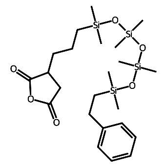 C[Si](C)(CCCC1CC(=O)OC1=O)O[Si](C)(C)O[Si](C)(C)O[Si](C)(C)CCc1ccccc1